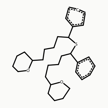 c1ccc(C(CCCCC2CCCCO2)SC(CCCCC2CCCCO2)c2ccccc2)cc1